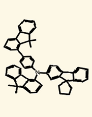 CC1(C)c2ccccc2-c2c(N(c3ccc(-c4cccc5c4C(C)(C)c4ccccc4-5)cc3)c3ccc4c(c3)C3(CCCC3)c3ccccc3-4)cccc21